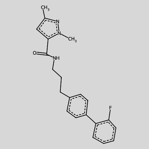 Cc1cc(C(=O)NCCCc2ccc(-c3ccccc3F)cc2)n(C)n1